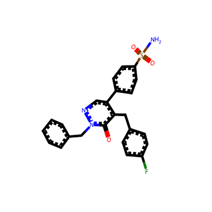 NS(=O)(=O)c1ccc(-c2cnn(Cc3ccccc3)c(=O)c2Cc2ccc(F)cc2)cc1